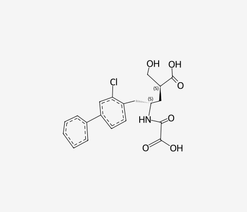 O=C(O)C(=O)N[C@H](Cc1ccc(-c2ccccc2)cc1Cl)C[C@@H](CO)C(=O)O